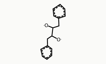 [O]C(Cc1ccccc1)C([O])Cc1ccccc1